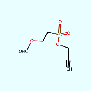 C#CCOS(=O)(=O)CCOC=O